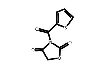 O=C1COC(=O)N1C(=O)c1cccs1